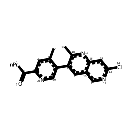 CCCC(=O)c1cc(C)c(-c2cc3cnc(Cl)cc3nc2C)cn1